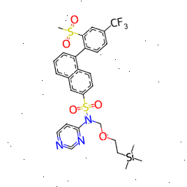 C[Si](C)(C)CCOCN(c1ccncn1)S(=O)(=O)c1ccc2c(-c3ccc(C(F)(F)F)cc3S(C)(=O)=O)cccc2c1